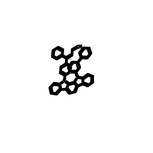 C=C/C=C(\c1ccccc1)c1ccc(-n2c3ccccc3c3ccc4c5ccccc5n(-c5cccc(-c6ccccc6)c5)c4c32)cc1